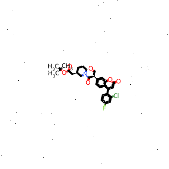 CC(C)(C)OC(=O)C[C@H]1CCCN(C(=O)[C@@H](C=O)c2ccc3c(-c4ccc(F)cc4Cl)cc(=O)oc3c2)C1